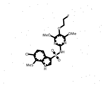 COc1nc(NS(=O)(=O)c2c[nH]c3c(SC)c(Cl)ccc23)nc(OC)c1OCCF